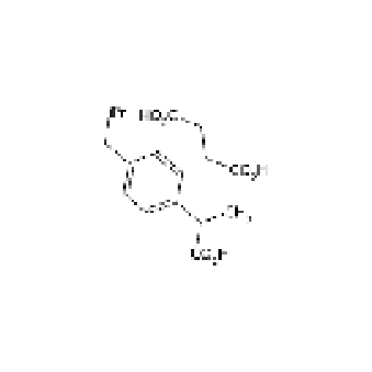 CC(C)Cc1ccc(C(C)C(=O)O)cc1.O=C(O)CCC(=O)O